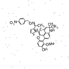 COc1c(O)ccc2c1-c1ccc3c(c1/C(=C/c1sccc1/C(C)=N\OCc1ccc([N+](=O)[O-])cc1)O2)C(C)=CC(C)(C)N3